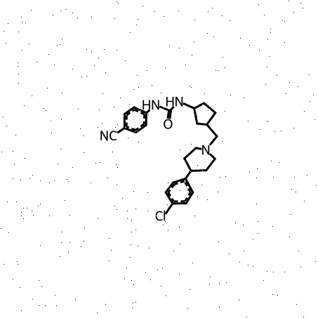 N#Cc1ccc(NC(=O)NC2CCC(CN3CCC(c4ccc(Cl)cc4)CC3)C2)cc1